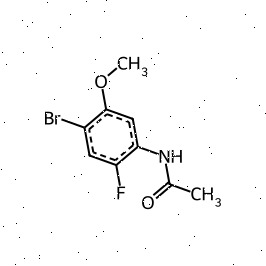 COc1cc(NC(C)=O)c(F)cc1Br